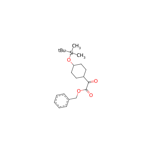 CC(C)(C)[Si](C)(C)OC1CCC(C(=O)C(=O)OCc2ccccc2)CC1